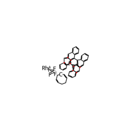 C1=C\CC/C=C\CC/1.F[B-](F)(F)F.[Rh+].c1ccc(P(c2ccccc2)c2ccc3ccccc3c2-c2c(P(c3ccccc3)c3ccccc3)ccc3ccccc23)cc1